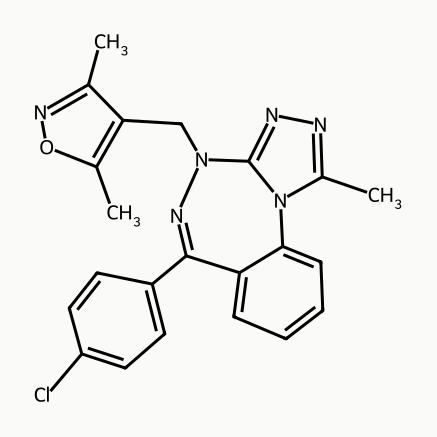 Cc1noc(C)c1CN1N=C(c2ccc(Cl)cc2)c2ccccc2-n2c(C)nnc21